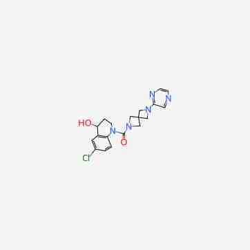 O=C(N1CC2(C1)CN(c1cnccn1)C2)N1CCC(O)c2cc(Cl)ccc21